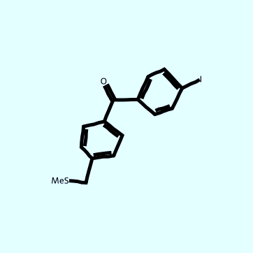 CSCc1ccc(C(=O)c2ccc(I)cc2)cc1